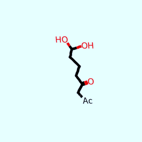 CC(=O)CC(=O)CCCC(O)O